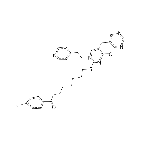 O=C(CCCCCCCSc1nc(=O)c(Cc2cncnc2)cn1CCc1ccncc1)c1ccc(Cl)cc1